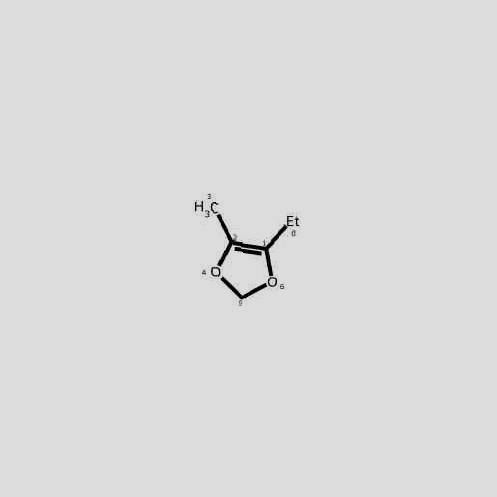 CCC1=C(C)OCO1